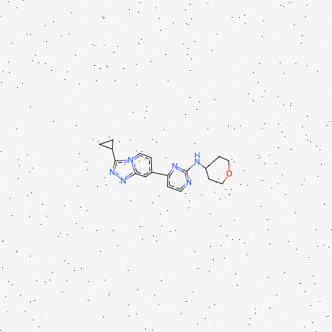 c1cc(-c2ccn3c(C4CC4)nnc3c2)nc(NC2CCOCC2)n1